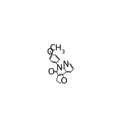 COc1ccc(-n2c(=O)c3c(c4cccnc42)OCC3)cc1